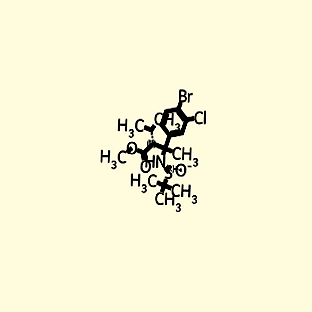 COC(=O)[C@H](C(C)C)C(C)(N[S@@+]([O-])C(C)(C)C)c1ccc(Br)c(Cl)c1